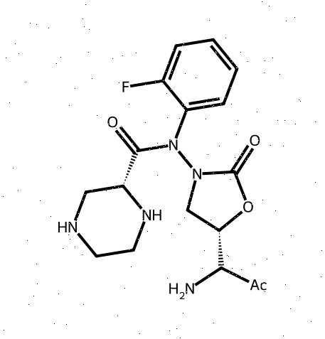 CC(=O)C(N)[C@@H]1CN(N(C(=O)[C@H]2CNCCN2)c2ccccc2F)C(=O)O1